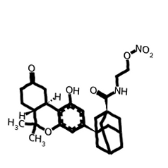 CC1(C)Oc2cc([C@]34CC5CC(C[C@@](C(=O)NCCO[N+](=O)[O-])(C5)C3)C4)cc(O)c2[C@@H]2CC(=O)CC[C@H]21